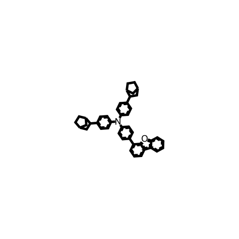 c1ccc2c(c1)oc1c(-c3ccc(N(c4ccc(C5CC6CCC5C6)cc4)c4ccc(C5CC6CCC5C6)cc4)cc3)cccc12